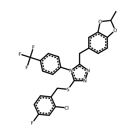 CC1Oc2ccc(Cc3nnc(SCc4ccc(F)cc4Cl)n3-c3ccc(C(F)(F)F)cc3)cc2O1